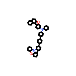 c1ccc(N(c2ccc(-c3ccc(-c4ccc5c6cccc7c6n(c5c4)-c4ccccc4O7)cc3)cc2)c2ccc3c(c2)oc2ccc4ccccc4c23)cc1